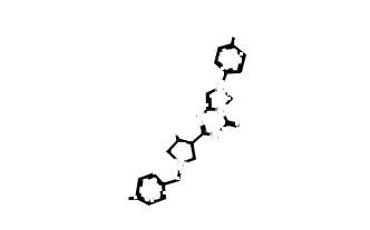 CC1CN(Cc2ccc(F)cc2)CC1C1=NC2=CN(c3ccc(F)cc3)CN2C(=O)N1